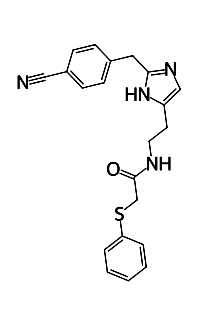 N#Cc1ccc(Cc2ncc(CCNC(=O)CSc3ccccc3)[nH]2)cc1